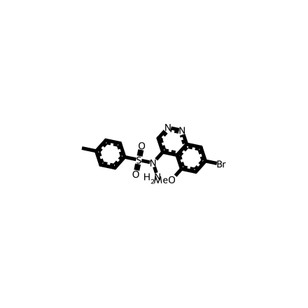 COc1cc(Br)cc2nncc(N(N)S(=O)(=O)c3ccc(C)cc3)c12